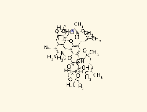 COC(=O)/C(C)=C\CC1(O)C(=O)C2CC(C(C)C)C13Oc1c(CC=C(C)C)c4c(c(O[C@H]5O[C@H]6COC(C)(C)O[C@@H]6[C@@H](O)[C@@H]5O)c1C1=C3C2C(C#N)=C(N)N1C)C=CC(C)(CCC=C(C)C)O4